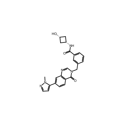 Cn1nccc1-c1ccc2c(=O)n(Cc3cccc(C(=O)N[C@H]4C[C@@H](O)C4)c3)cnc2c1